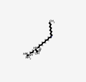 CCCCCCCC/C=C\CCCCCCCC(=O)N[C@@H](CCCNC(=N)N)C(=O)O